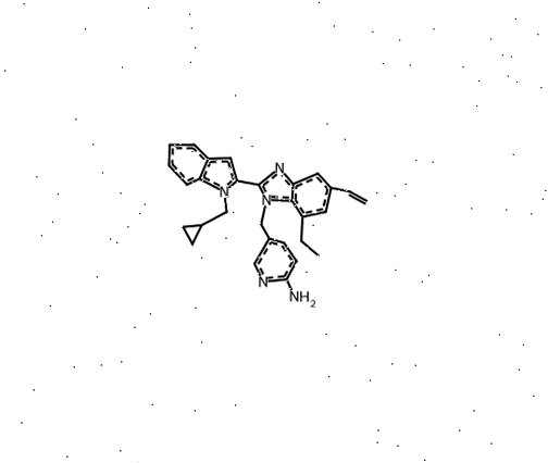 C=Cc1cc(CC)c2c(c1)nc(-c1cc3ccccc3n1CC1CC1)n2Cc1ccc(N)nc1